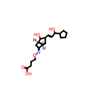 O=C(O)CCCON=C1C[C@H]2C(O)C(C=CC(O)C3CCCC3)C[C@H]12